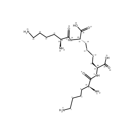 NCCCC[C@H](N)C(=O)N[C@@H](CSSC[C@H](NC(=O)[C@@H](N)CCCCN)C(=O)O)C(=O)O